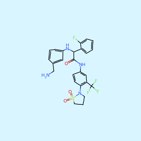 NCc1cccc(NC(C(=O)Nc2ccc(N3CCCS3(=O)=O)c(C(F)(F)F)c2)c2ccccc2F)c1